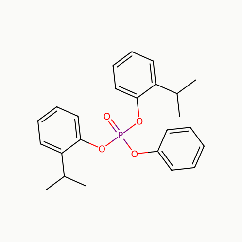 CC(C)c1ccccc1OP(=O)(Oc1ccccc1)Oc1ccccc1C(C)C